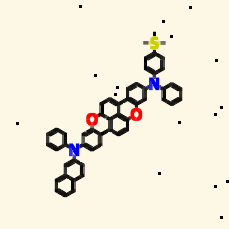 CS(C)(C)c1ccc(N(c2ccccc2)c2ccc3c(c2)Oc2ccc4c5c(ccc-3c25)Oc2cc(N(c3ccccc3)c3ccc5ccccc5c3)ccc2-4)cc1